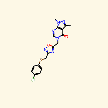 Cc1nn(C)c2ncn(Cc3nc(CSc4ccc(Cl)cc4)no3)c(=O)c12